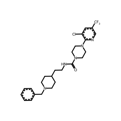 O=C(NCCC1CCN(Cc2ccccc2)CC1)N1CCN(c2ncc(C(F)(F)F)cc2Cl)CC1